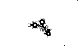 CC12CCC(C1)C(C)(C)C2NC(=O)c1nn(-c2ccc(Cl)cc2)c2c1CCCC2